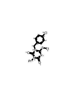 CCSc1nc(=O)n(C(C)C)c(=O)n1Cc1ccc(Cl)cc1